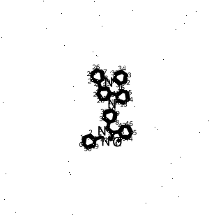 c1ccc(-c2nc(-c3ccc(-n4c5ccccc5c5c4ccc4c6ccccc6n(-c6ccccc6)c45)cc3)c3c(n2)oc2ccccc23)cc1